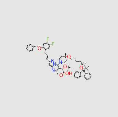 Cc1nc2cc(C=CCc3cc(F)c(F)cc3OCc3ccccc3)nn2c(N2CCC(C)(OCCCC[C@@H](C)O[Si](c3ccccc3)(c3ccccc3)C(C)(C)C)CC2)c1C(OC(C)(C)C)C(=O)O